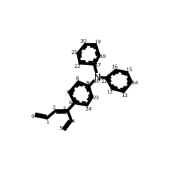 C=C/C=C(\C=C)c1ccc(N(c2ccccc2)c2ccccc2)cc1